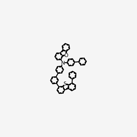 c1ccc(-c2ccc(N(c3ccc(-c4cccc(-c5cccc6c5sc5c(-c7ccccc7)cccc56)c4)cc3)c3cccc4c3oc3ccccc34)cc2)cc1